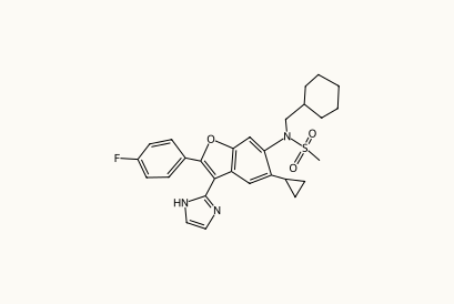 CS(=O)(=O)N(CC1CCCCC1)c1cc2oc(-c3ccc(F)cc3)c(-c3ncc[nH]3)c2cc1C1CC1